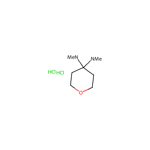 CNC1(NC)CCOCC1.Cl.Cl